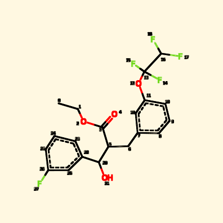 CCOC(=O)C(Cc1cccc(OC(F)(F)C(F)F)c1)C(O)c1cccc(F)c1